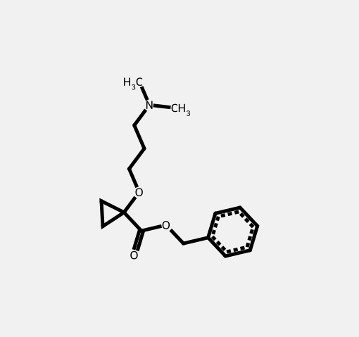 CN(C)CCCOC1(C(=O)OCc2ccccc2)CC1